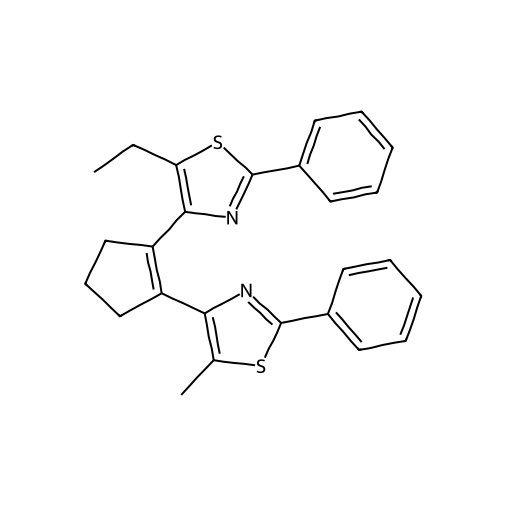 CCc1sc(-c2ccccc2)nc1C1=C(c2nc(-c3ccccc3)sc2C)CCC1